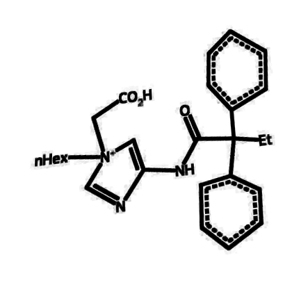 CCCCCC[N+]1(CC(=O)O)C=NC(NC(=O)C(CC)(c2ccccc2)c2ccccc2)=C1